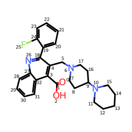 O=C(O)c1c(CN2CCC(N3CCCCC3)CC2)c(-c2ccccc2F)nc2ccccc12